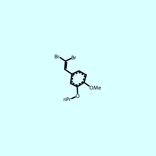 CCCOc1cc(C=C(Br)Br)ccc1OC